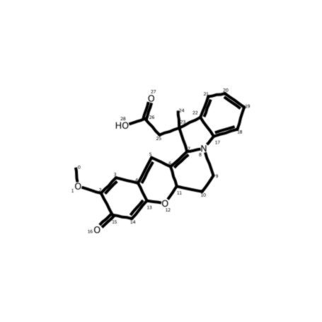 COC1=CC2=CC3=C4N(CCC3OC2=CC1=O)c1ccccc1C4(C)CC(=O)O